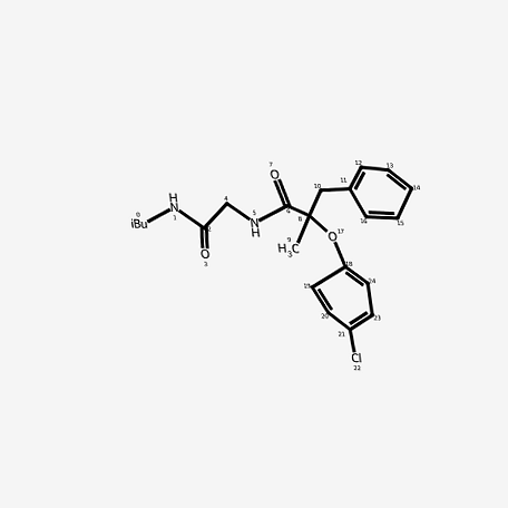 CCC(C)NC(=O)CNC(=O)C(C)(Cc1ccccc1)Oc1ccc(Cl)cc1